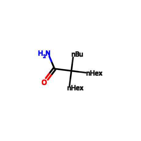 CCCCCCC(CCCC)(CCCCCC)C(N)=O